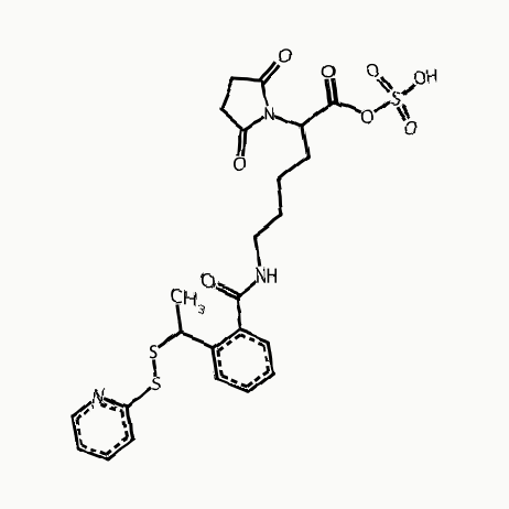 CC(SSc1ccccn1)c1ccccc1C(=O)NCCCCC(C(=O)OS(=O)(=O)O)N1C(=O)CCC1=O